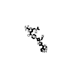 CC(C)NCc1cc(C(=O)N2CCN([C@H]3C[C@](CC#N)(n4cc(-c5ncnc6[nH]ccc56)cn4)C3)CC2)nc(C(F)(F)F)n1